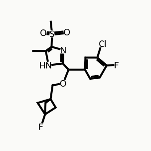 Cc1[nH]c(C(OCC23CC(F)(C2)C3)c2ccc(F)c(Cl)c2)nc1S(C)(=O)=O